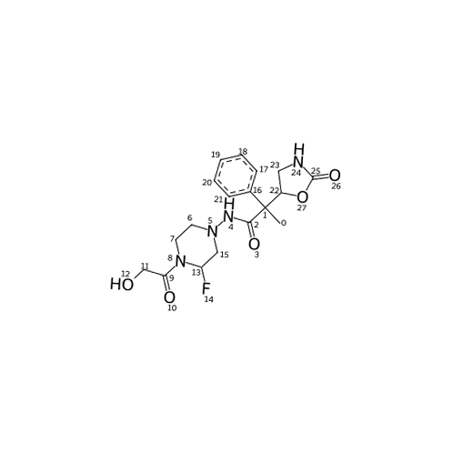 CC(C(=O)NN1CCN(C(=O)CO)C(F)C1)(c1ccccc1)C1CNC(=O)O1